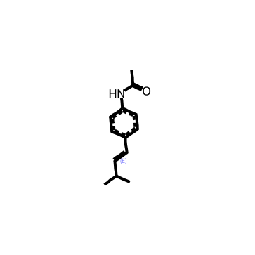 CC(=O)Nc1ccc(/C=C/C(C)C)cc1